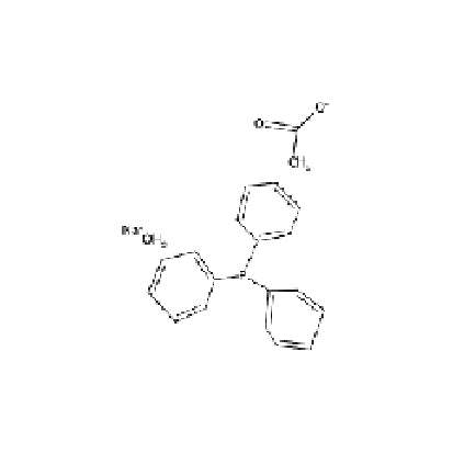 CC(=O)[O-].O.[Na+].c1ccc(P(c2ccccc2)c2ccccc2)cc1